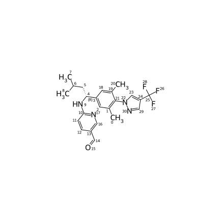 Cc1cc([C@@H](CC(C)C)Nc2ccc(C=O)cn2)cc(C)c1-n1cc(C(F)(F)F)cn1